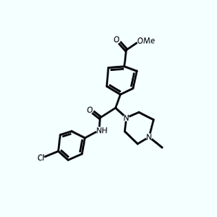 COC(=O)c1ccc(C(C(=O)Nc2ccc(Cl)cc2)N2CCN(C)CC2)cc1